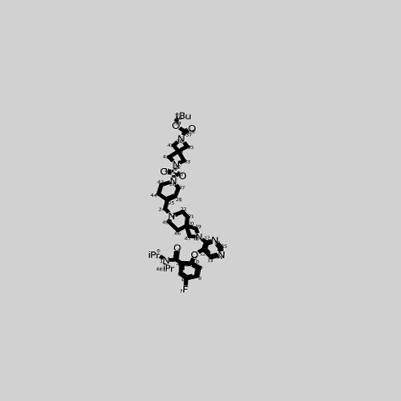 CC(C)N(C(=O)c1cc(F)ccc1Oc1cncnc1N1CC2(CCN(CC3=CCN(S(=O)(=O)N4CC5(CN(C(=O)OC(C)(C)C)C5)C4)CC3)CC2)C1)C(C)C